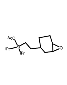 CC(=O)O[Si](CCC1CCC2OC2C1)(C(C)C)C(C)C